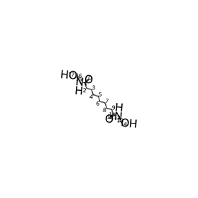 O=C(CCCCCCCCC(=O)NCO)NCO